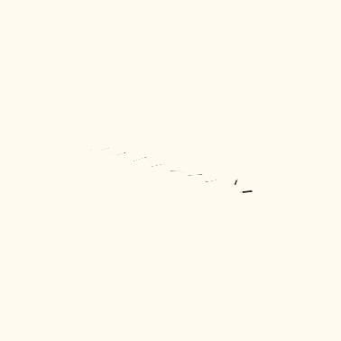 C=CC(=O)OCCCCCCCCCCCCCC(C)=O